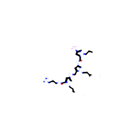 CC(C)CCn1cc(NC(=O)c2cc(NC(=O)c3cc([N+](=O)[O-])cn3CCC(C)C)cn2CCC(C)C)cc1C(=O)NCCCN(C)C